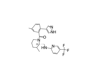 Cc1ccc(-c2cn[nH]c2)c(C(=O)N2CCCC(C)[C@H]2CNc2ccc(C(F)(F)F)cn2)c1